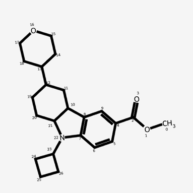 COC(=O)c1ccc2c(c1)C1CC(C3CCOCC3)CCC1N2C1CCC1